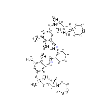 Cc1cc(C[N+](C)(C)CCC[N+]2(C)CCOCC2)cc(/C=N/C2CCCC[C@H]2/N=C/c2cc(C[N+](C)(C)CCC[N+]3(C)CCOCC3)cc(C)c2O)c1O